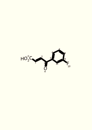 O=C(O)C=CC(=O)c1cccc(F)c1